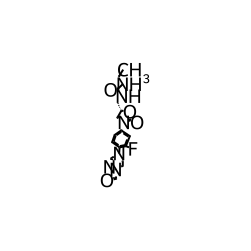 CCNC(=O)NC[C@H]1CN(c2ccc(N3C=NN(C=O)CC3)c(F)c2)C(=O)O1